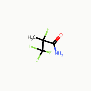 CC(F)(C(N)=O)C(F)(F)F